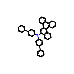 C1=Cc2c(c3ccccc3c3cc(N(c4ccc(-c5ccccc5)cc4)c4ccc(-c5ccccc5)cc4)c4ccccc4c23)CC1